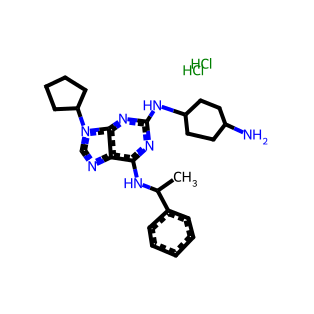 CC(Nc1nc(NC2CCC(N)CC2)nc2c1ncn2C1CCCC1)c1ccccc1.Cl.Cl